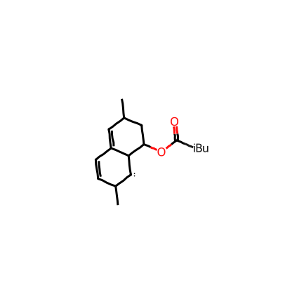 CCC(C)C(=O)OC1CC(C)C=C2C=CC(C)[C]C21